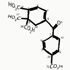 O=C(O)C1=CC=C(C(=O)c2ccc(C(=O)O)cc2)CC1(C(=O)O)C(=O)O